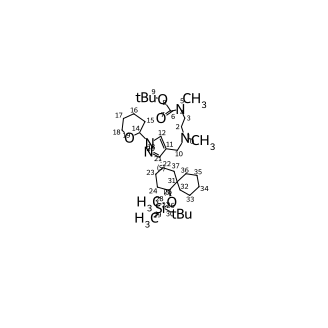 CN(CCN(C)C(=O)OC(C)(C)C)Cc1cn(C2CCCCO2)nc1[C@H]1CC[C@H](O[Si](C)(C)C(C)(C)C)C2(CCCCC2)C1